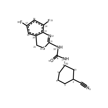 N#CC1CCC[C@H](NC(=O)NC2=Nc3c(F)cc(F)cc3CS2)C1